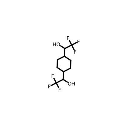 OC(C1CCC(C(O)C(F)(F)F)CC1)C(F)(F)F